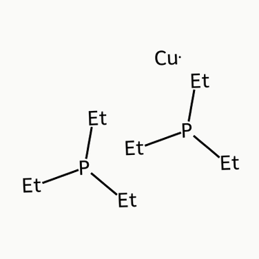 CCP(CC)CC.CCP(CC)CC.[Cu]